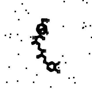 C=C(CCNC(=O)COc1ccc(Cl)c(F)c1)NC(=O)C1C2=CC(OC)=C(CCC2)C1F